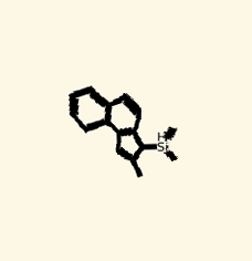 CC1=Cc2c(ccc3ccccc23)C1[SiH](C)C